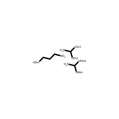 CCCCCCCCC(CCCCCCCC)[N+](=O)[O-].CCCCCCCCCC(CCCCC)[N+](=O)[O-].CCCCCCCCCCCCC[N+](=O)[O-]